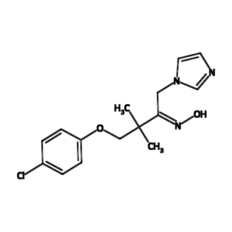 CC(C)(COc1ccc(Cl)cc1)C(Cn1ccnc1)=NO